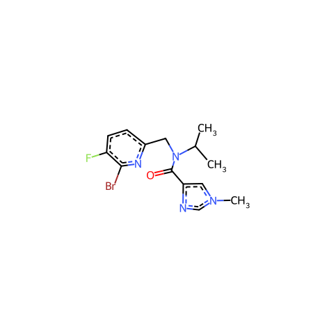 CC(C)N(Cc1ccc(F)c(Br)n1)C(=O)c1cn(C)cn1